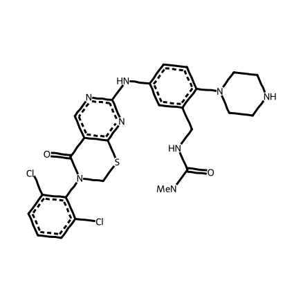 CNC(=O)NCc1cc(Nc2ncc3c(n2)SCN(c2c(Cl)cccc2Cl)C3=O)ccc1N1CCNCC1